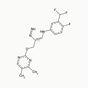 Cc1cnc(OC/C(=C/Nc2ccc(F)c(C(F)F)c2)N=N)nc1C